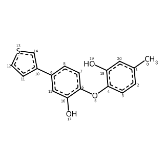 Cc1ccc(Oc2ccc(-c3ccsc3)cc2O)c(O)c1